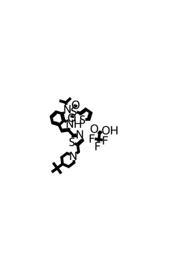 CC(C)N(c1cccc2cc(-c3ncc(CN4CCC(C(C)(C)C)CC4)s3)[nH]c12)S(=O)(=O)c1cccs1.O=C(O)C(F)(F)F